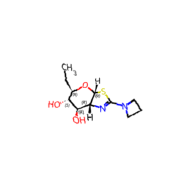 CC[C@H]1O[C@@H]2SC(N3CCC3)=N[C@@H]2[C@@H](O)[C@@H]1O